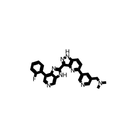 CN(C)Cc1cncc(-c2ccc3[nH]nc(-c4nc5c(-c6ccccc6F)cncc5[nH]4)c3n2)c1